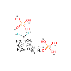 CC.CC.CC.CC.FCF.O=P(O)(O)O.O=P(O)(O)O